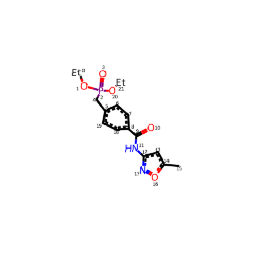 CCOP(=O)(Cc1ccc(C(=O)Nc2cc(C)on2)cc1)OCC